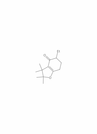 CCC1CCC2=C(C1=O)C(C)(C)C(C)(C)O2